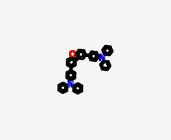 C1=CCC(N(c2ccccc2)c2ccc(-c3ccc4oc5ccc(-c6ccc(N(c7ccccc7)c7ccccc7)cc6)cc5c4c3)cc2)C=C1